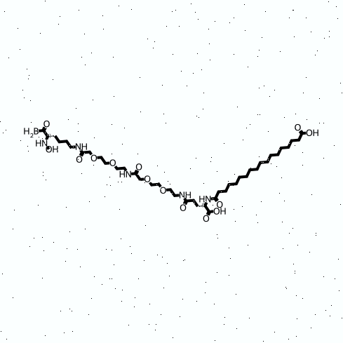 BC(=O)[C@H](CCCCNC(=O)COCCOCCNC(=O)COCCOCCNC(=O)CC[C@H](NC(=O)CCCCCCCCCCCCCCCCC(=O)O)C(=O)O)NO